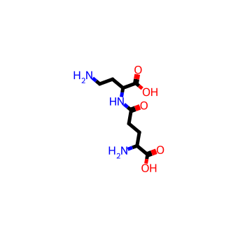 NCCC(NC(=O)CCC(N)C(=O)O)C(=O)O